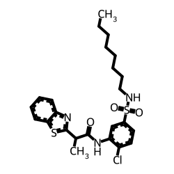 CCCCCCCCNS(=O)(=O)c1ccc(Cl)c(NC(=O)C(C)c2nc3ccccc3s2)c1